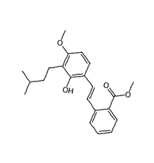 COC(=O)c1ccccc1C=Cc1ccc(OC)c(CCC(C)C)c1O